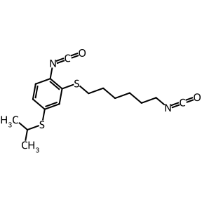 CC(C)Sc1ccc(N=C=O)c(SCCCCCCN=C=O)c1